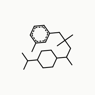 C[C](CC(C)(C)Cc1cccc(C)c1)C1CCC(C(C)C)CC1